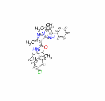 CCC(CC)(NC(=O)c1c(C)nn2c1N[C@@H](C1C=CC=CC1)CC2(C)C)c1ccc(Cl)cc1